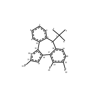 CC(C)(C)C1c2ccccc2-c2sc(F)cc2-c2c1ccc(F)c2F